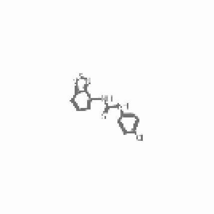 S=C(Nc1ccc(Cl)cc1)Nc1cccc2nsnc12